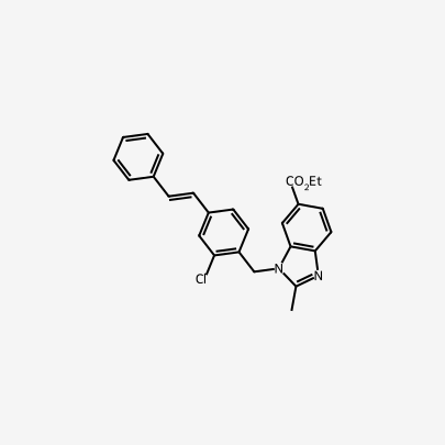 CCOC(=O)c1ccc2nc(C)n(Cc3ccc(/C=C/c4ccccc4)cc3Cl)c2c1